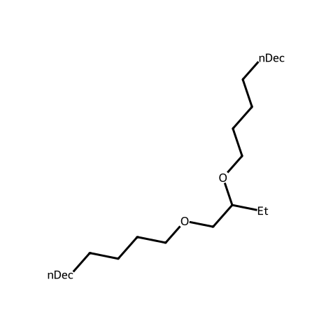 CCCCCCCCCCCCCCOCC(CC)OCCCCCCCCCCCCCC